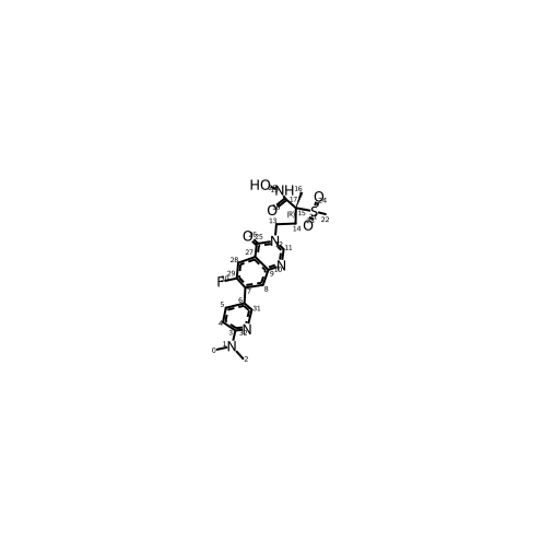 CN(C)c1ccc(-c2cc3ncn(CC[C@](C)(C(=O)NO)S(C)(=O)=O)c(=O)c3cc2F)cn1